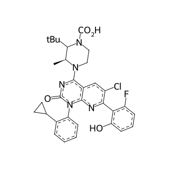 C[C@H]1C(C(C)(C)C)N(C(=O)O)CCN1c1nc(=O)n(-c2ccccc2C2CC2)c2nc(-c3c(O)cccc3F)c(Cl)cc12